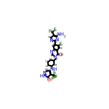 Nc1nc(-c2cc3ncn(CC4CCC[C@H](Nc5cn[nH]c(=O)c5C(F)(F)F)C4)c(=O)c3cc2F)ncc1C(F)F